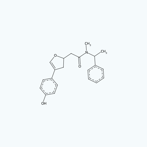 CC(c1ccccc1)N(C)C(=O)CC1CC(c2ccc(O)cc2)=CO1